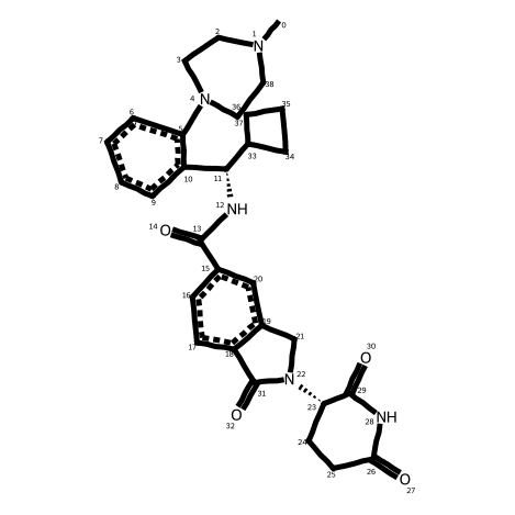 CN1CCN(c2ccccc2[C@@H](NC(=O)c2ccc3c(c2)CN([C@H]2CCC(=O)NC2=O)C3=O)C2CCC2)CC1